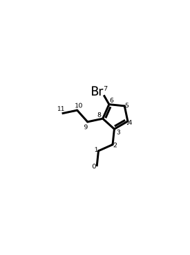 CCCC1=[C]CC(Br)=C1CCC